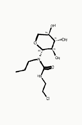 CCCN(C(=O)NCCCl)[C@@H]1OC[C@@H](O)[C@H](O)[C@H]1O